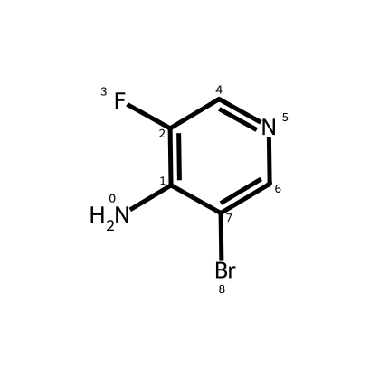 Nc1c(F)cncc1Br